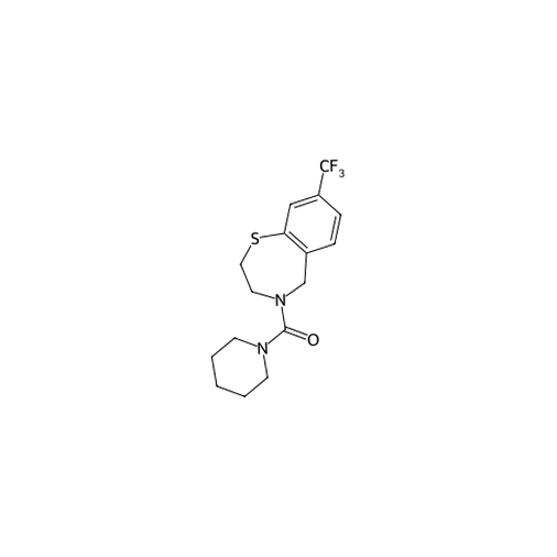 O=C(N1CCCCC1)N1CCSc2cc(C(F)(F)F)ccc2C1